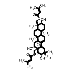 CC(C)=CC(=O)OC[C@@]12C(CC(C)(C)[C@@H](O)[C@@H]1O)C1=CCC3[C@@]4(C)CC[C@H](O)[C@](C)(COC(=O)C=C(C)C)C4CC[C@@]3(C)[C@]1(C)C[C@H]2O